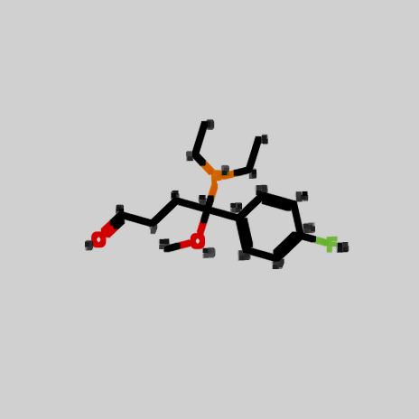 CCP(CC)C(CCC=O)(OC)c1ccc(F)cc1